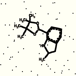 CC1Cc2cccc(B3OC(C)(C)C(C)(C)O3)c2N1